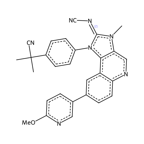 COc1ccc(-c2ccc3ncc4c(c3c2)n(-c2ccc(C(C)(C)C#N)cc2)/c(=N\C#N)n4C)cn1